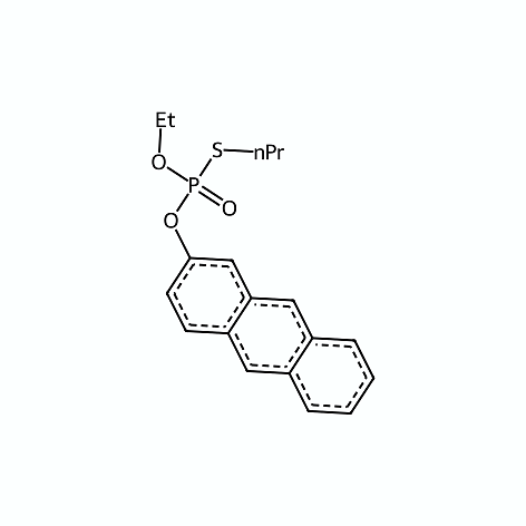 CCCSP(=O)(OCC)Oc1ccc2cc3ccccc3cc2c1